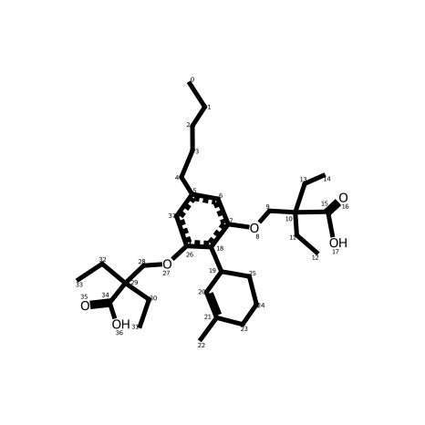 CCCCCc1cc(OCC(CC)(CC)C(=O)O)c(C2C=C(C)CCC2)c(OCC(CC)(CC)C(=O)O)c1